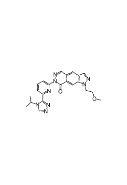 COCCn1ncc2cc3cnn(-c4cccc(-c5nncn5C(C)C)n4)c(=O)c3cc21